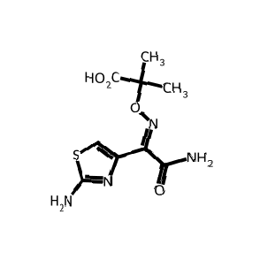 CC(C)(O/N=C(/C(N)=O)c1csc(N)n1)C(=O)O